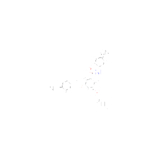 C=CCOc1cc(OCc2ccc(C#N)cc2)cc(C(=O)Nc2ccc(C#N)cc2)c1